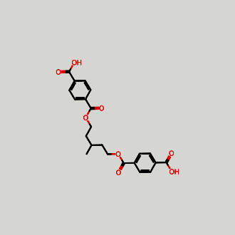 CC(CCOC(=O)c1ccc(C(=O)O)cc1)CCOC(=O)c1ccc(C(=O)O)cc1